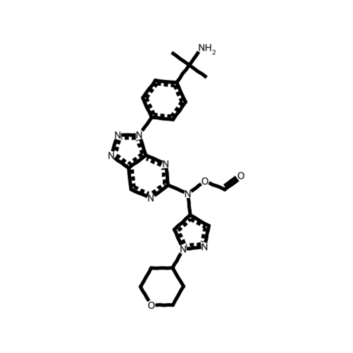 CC(C)(N)c1ccc(-n2nnc3cnc(N(OC=O)c4cnn(C5CCOCC5)c4)nc32)cc1